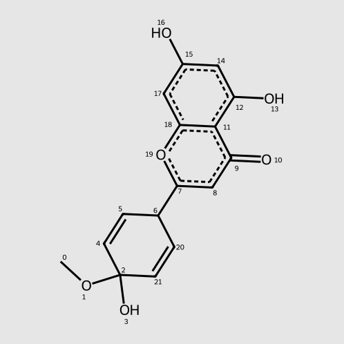 COC1(O)C=CC(c2cc(=O)c3c(O)cc(O)cc3o2)C=C1